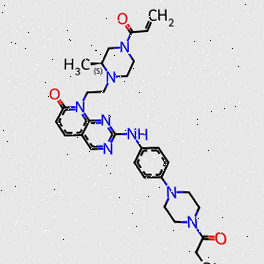 C=CC(=O)N1CCN(CCn2c(=O)ccc3cnc(Nc4ccc(N5CCN(C(=O)CSC)CC5)cc4)nc32)[C@@H](C)C1